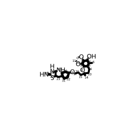 COc1c(O)c(C)c2c(c1OC)OC(C)(CCCOc1ccc(CC3SC(=N)NC3=N)cc1)CC2